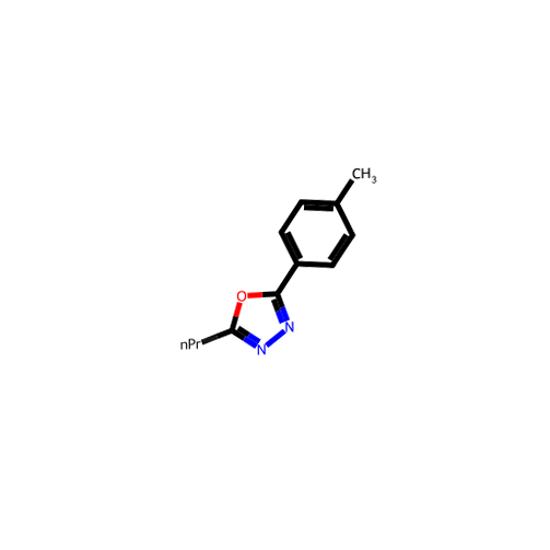 CCCc1nnc(-c2ccc(C)cc2)o1